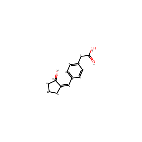 O=C(O)Cc1ccc(C=C2CCCC2=O)cc1